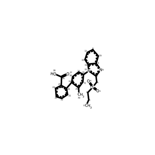 CCCS(=O)(=O)Cc1nc2ccccc2n1-c1ccc(-c2ccccc2C(=O)O)c(C)c1